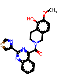 COc1ccc2c(c1O)CCN(C(=O)c1nc(-c3cscn3)nc3ccccc13)C2